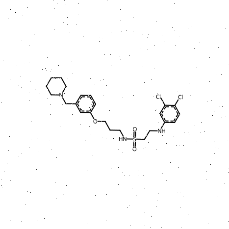 O=S(=O)(CCNc1ccc(Cl)c(Cl)c1)NCCCOc1cccc(CN2CCCCC2)c1